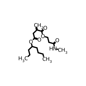 C=C(CC(=O)OC(CCC)CCCC)C(=O)OCCC(=O)NC